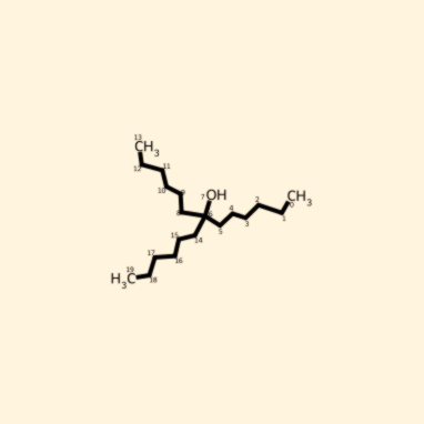 CCCCCCC(O)(CCCCCC)CCCCCC